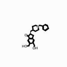 O=C1c2cc(CO)c(CO)cc2C[C@@H]1CC1CCN(Cc2ccccc2)CC1